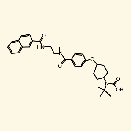 CC(C)(C)N(C(=O)O)[C@H]1CC[C@@H](Oc2ccc(C(=O)NCCNC(=O)c3ccc4ccccc4c3)cc2)CC1